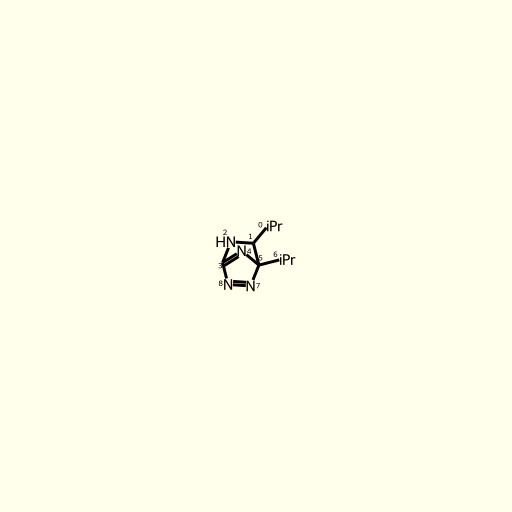 CC(C)C1NC2=NC1(C(C)C)N=N2